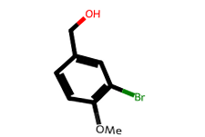 COc1ccc(CO)cc1Br